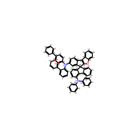 C1=CC(c2ccccc2N(c2ccc(-c3ccccc3)cc2)c2ccc3c(c2)C2(c4ccccc4-c4c(N(c5ccccc5)c5ccccc5)cccc42)c2oc4ccccc4c2-3)=CCC1